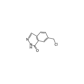 O=c1[nH]ncc2ccc(CCl)cc12